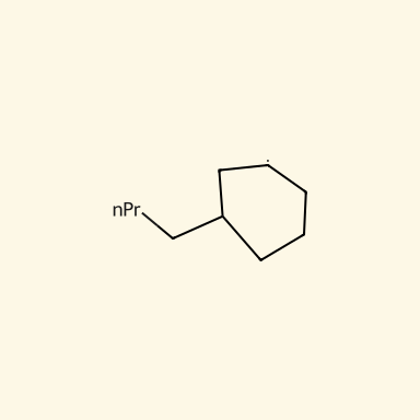 CCCCC1C[CH]CCC1